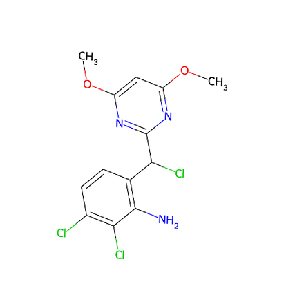 COc1cc(OC)nc(C(Cl)c2ccc(Cl)c(Cl)c2N)n1